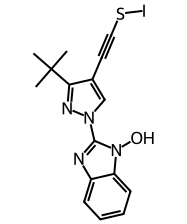 CC(C)(C)c1nn(-c2nc3ccccc3n2O)cc1C#CSI